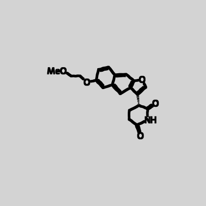 COCCOc1ccc2cc3occ([C@H]4CCC(=O)NC4=O)c3cc2c1